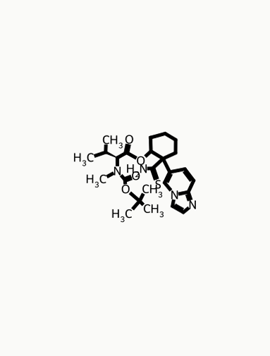 CC(C)[C@@H](C(=O)OC1CCCCC1(C(N)=S)c1ccc2nccn2c1)N(C)C(=O)OC(C)(C)C